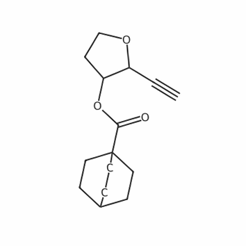 C#CC1OCCC1OC(=O)C12CCC(CC1)CC2